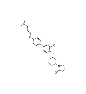 CN(C)CCCOc1ccc(-c2ccc(CC3CCCC(N4CCCC4=O)C3)c(Cl)c2)cc1